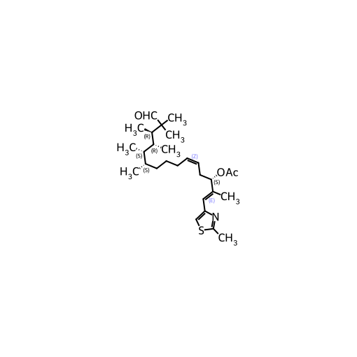 CC(=O)O[C@@H](C/C=C\CCC[C@H](C)[C@H](C)[C@@H](C)[C@@H](C)C(C)(C)C=O)/C(C)=C/c1csc(C)n1